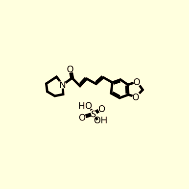 O=C(/C=C/C=C/c1ccc2c(c1)OCO2)N1CCCCC1.O=S(=O)(O)O